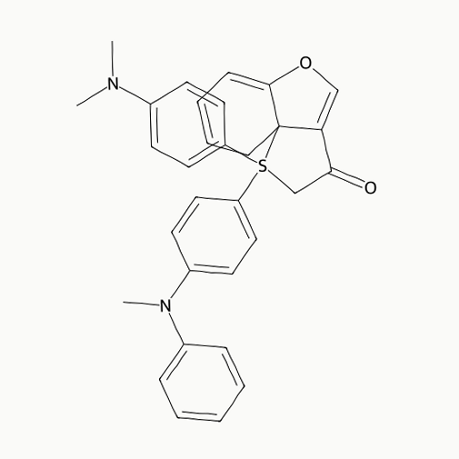 CN(C)c1ccc(S2(c3ccc(N(C)c4ccccc4)cc3)CC(=O)C3=COC4=CC=CCC432)cc1